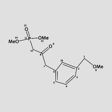 COCc1cccc(CC(=O)CP(=O)(OC)OC)c1